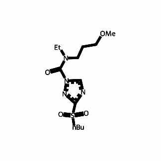 CCCCS(=O)(=O)c1ncn(C(=O)N(CC)CCCOC)n1